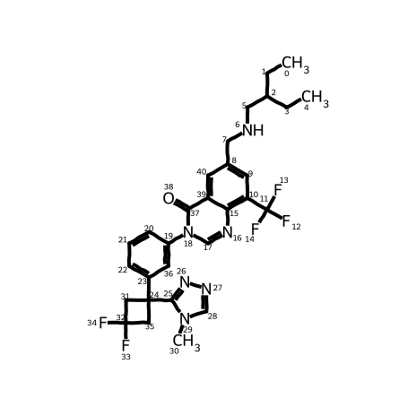 CCC(CC)CNCc1cc(C(F)(F)F)c2ncn(-c3cccc(C4(c5nncn5C)CC(F)(F)C4)c3)c(=O)c2c1